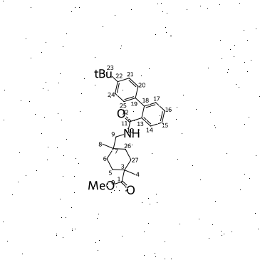 COC(=O)C1(C)CCC(C)(CNC(=O)c2ccccc2-c2ccc(C(C)(C)C)cc2)CC1